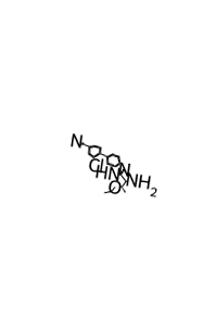 CCO[C@H](C)[C@H](N)c1nc2ccc(-c3ccc(C#N)cc3Cl)cc2[nH]1